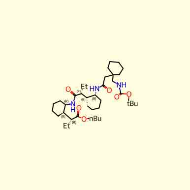 CCCCOC(=O)[C@H](CC)[C@H]1CCCC[C@H]1NC(=O)[C@H](CC)[C@H]1CCCC[C@H]1NC(=O)CC1(CNC(=O)OC(C)(C)C)CCCCC1